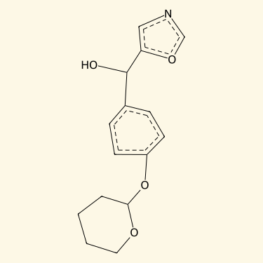 OC(c1ccc(OC2CCCCO2)cc1)c1cnco1